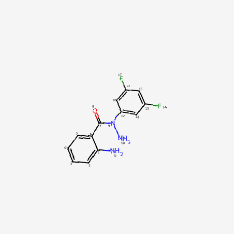 Nc1ccccc1C(=O)N(N)c1cc(F)cc(F)c1